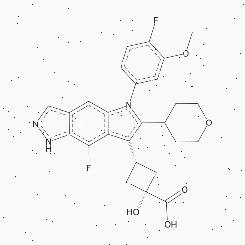 COc1cc(-n2c(C3CCOCC3)c([C@H]3C[C@](O)(C(=O)O)C3)c3c(F)c4[nH]ncc4cc32)ccc1F